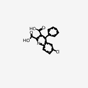 O=C(O)c1nc2ccc(Cl)cc2c(-c2ccccc2)c1C(=O)O